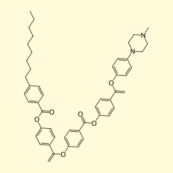 C=C(Oc1ccc(C(=O)Oc2ccc(C(=C)Oc3ccc(N4CCN(C)CC4)cc3)cc2)cc1)c1ccc(OC(=O)c2ccc(CCCCCCCCC)cc2)cc1